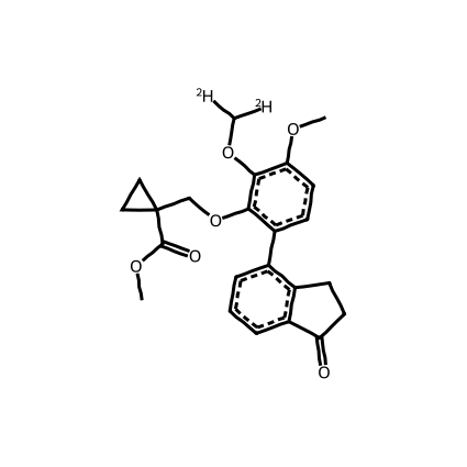 [2H]C([2H])Oc1c(OC)ccc(-c2cccc3c2CCC3=O)c1OCC1(C(=O)OC)CC1